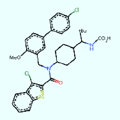 COc1ccc(-c2ccc(Cl)cc2)cc1CN(C(=O)c1sc2ccccc2c1Cl)C1CCC(C(NC(=O)O)C(C)(C)C)CC1